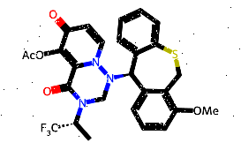 COc1cccc2c1CSc1ccccc1[C@@H]2N1CN([C@H](C)C(F)(F)F)C(=O)c2c(OC(C)=O)c(=O)ccn21